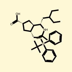 CCC(CC)C[C@H](NC(C)=O)[C@@H]1C[C@@H](C(=O)O)C[C@H]1CO[Si](c1ccccc1)(c1ccccc1)C(C)(C)C